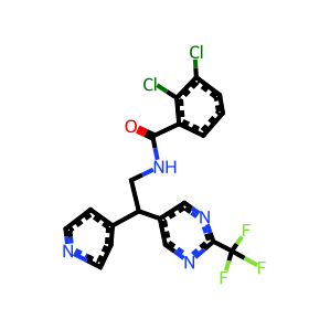 O=C(NCC(c1ccncc1)c1cnc(C(F)(F)F)nc1)c1cccc(Cl)c1Cl